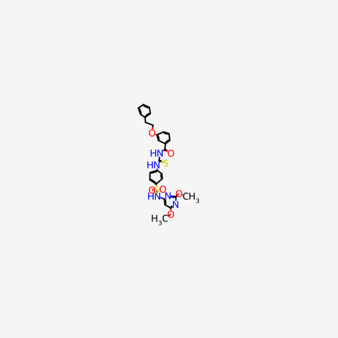 COc1cc(NS(=O)(=O)c2ccc(NC(=S)NC(=O)c3cccc(OCCc4ccccc4)c3)cc2)nc(OC)n1